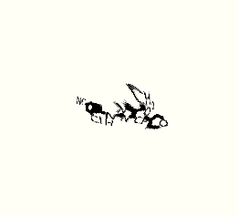 C=C(OCC1CCOCC1)c1cnc(Nc2ccc(C#N)cc2Cl)nc1C(F)(F)F